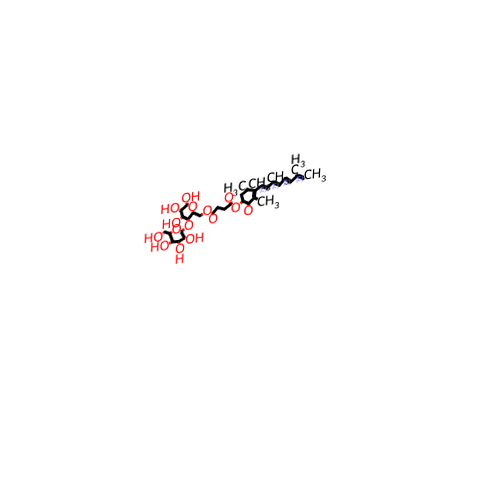 C/C=C(C)/C=C/C=C(C)/C=C/C1=C(C)C(=O)C(OC(=O)CCC(=O)OCC2OC(O)C(O)C(O)C2OC2OC(CO)C(O)C(O)C2O)CC1(C)C